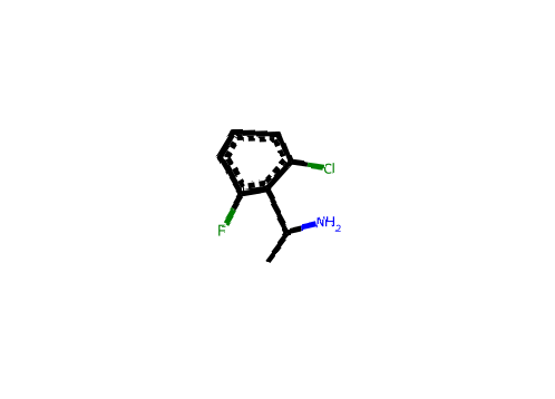 CC(N)c1c(F)cccc1Cl